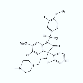 COc1cc2c(cc1Cl)C(CCCN1CCN(C)CC1)(c1ccccc1F)C(=O)N2S(=O)(=O)c1ccc(OC(C)C)c(F)c1.Cl